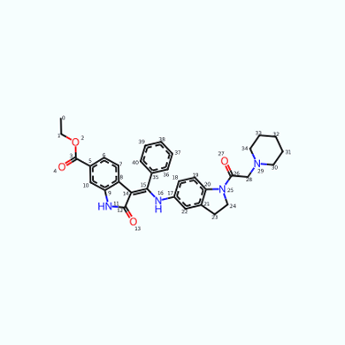 CCOC(=O)c1ccc2c(c1)NC(=O)/C2=C(\Nc1ccc2c(c1)CCN2C(=O)CN1CCCCC1)c1ccccc1